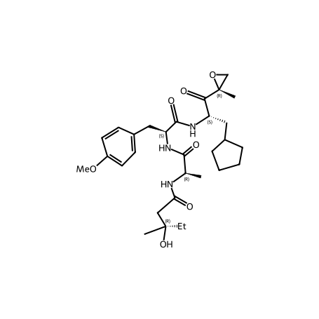 CC[C@@](C)(O)CC(=O)N[C@H](C)C(=O)N[C@@H](Cc1ccc(OC)cc1)C(=O)N[C@@H](CC1CCCC1)C(=O)[C@@]1(C)CO1